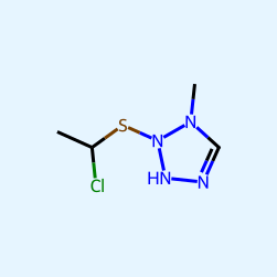 CC(Cl)SN1NN=CN1C